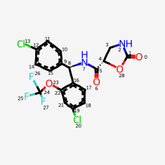 O=C1NC[C@@H](C(=O)N[C@H](c2ccc(Cl)cc2)c2ccc(Cl)cc2OC(F)(F)F)O1